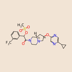 CS(=O)(=O)OC(C(=O)N1CCN2C[C@H](Oc3cnc(C4CC4)cn3)C[C@H]2C1)c1cccc(C(F)(F)F)c1